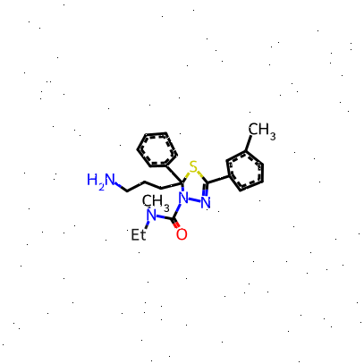 CCN(C)C(=O)N1N=C(c2cccc(C)c2)SC1(CCCN)c1ccccc1